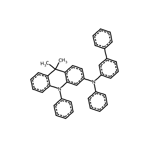 CC1(C)c2ccccc2N(c2ccccc2)c2cc(N(c3ccccc3)c3cccc(-c4ccccc4)c3)ccc21